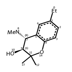 CCc1ccc2c(c1)[C@@H](NC)[C@H](O)C(C)(C)O2